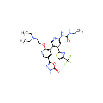 CCNC(=O)Nc1cc(-c2nc(C(F)(F)F)cs2)c(-c2cc(-c3n[nH]c(=O)o3)cnc2OCCN(CC)CC)cn1